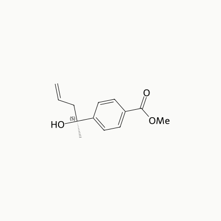 C=CC[C@](C)(O)c1ccc(C(=O)OC)cc1